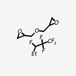 C(OCC1CO1)C1CO1.CCC(F)C(F)(F)C(F)(F)F